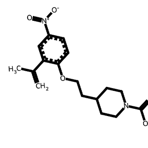 C=C(C)c1cc([N+](=O)[O-])ccc1OCCC1CCN(C(=O)O)CC1